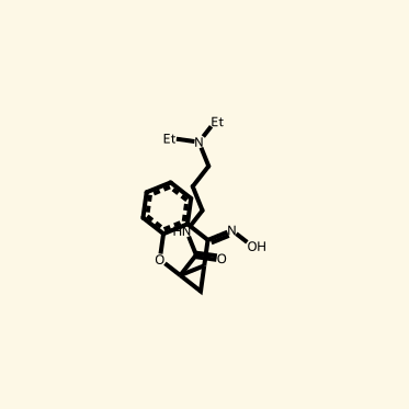 CCN(CC)CCCNC(=O)C12CC1C(=NO)c1ccccc1O2